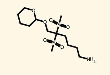 CS(=O)(=O)C(CCCCN)(COC1CCCCO1)S(C)(=O)=O